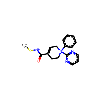 O=C(NSC(F)(F)F)C1=CC[N+](c2ccccc2)(c2ncccn2)CC1